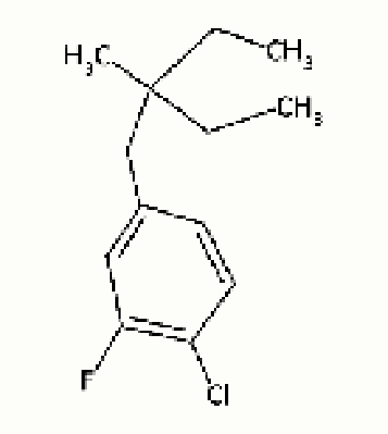 CCC(C)(CC)Cc1ccc(Cl)c(F)c1